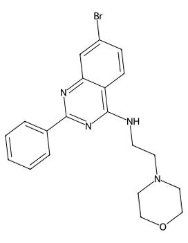 Brc1ccc2c(NCCN3CCOCC3)nc(-c3ccccc3)nc2c1